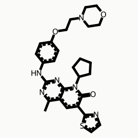 Cc1nc(Nc2ccc(OCCN3CCOCC3)cc2)nc2c1cc(-c1nccs1)c(=O)n2C1CCCC1